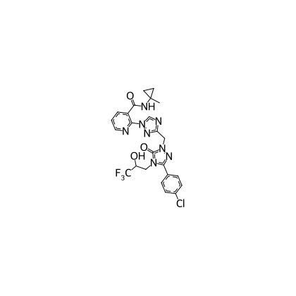 CC1(NC(=O)c2cccnc2-n2cnc(Cn3nc(-c4ccc(Cl)cc4)n(CC(O)C(F)(F)F)c3=O)n2)CC1